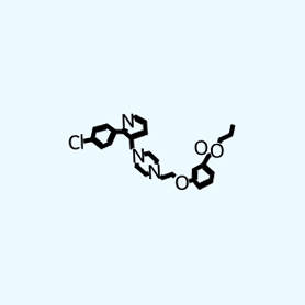 CCCOC(=O)c1cccc(OCCN2CCN(Cc3cccnc3-c3ccc(Cl)cc3)CC2)c1